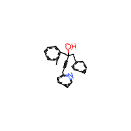 Cc1ccccc1C(O)(C#Cc1ccccn1)Cc1ccccc1